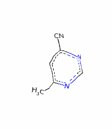 Cc1cc(C#N)ncn1